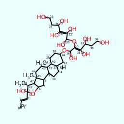 CC(C)/C=C/[C@@]1(O)OC2CC3C4CC[C@@H]5CC(OC(O)/C(OC(O)/C(O)=C(\O)C(O)CCO)=C(\O)C(O)CCO)CC[C@]5(C)C4CC[C@]3(C)C2[C@@H]1C